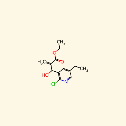 C=C(C(=O)OCC)C(O)c1cc(CC)cnc1Cl